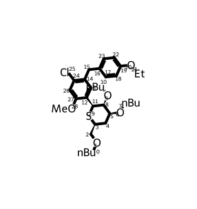 CCCCOC[C@@H]1C[C@H](OCCCC)[C@@H](OCCCC)[C@H](c2cc(Cc3ccc(OCC)cc3)c(Cl)cc2OC)S1